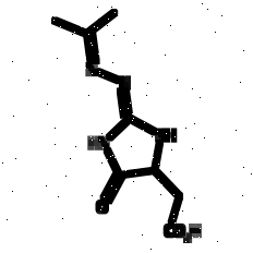 CC(C)=N/N=C1\NC(=O)C(CC(=O)O)N1